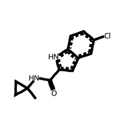 CC1(NC(=O)c2cc3cc(Cl)ccc3[nH]2)CC1